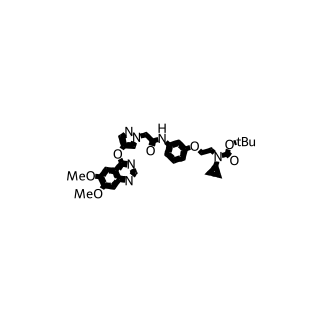 COc1cc2ncnc(Oc3cnn(CC(=O)Nc4cccc(OCCN(C(=O)OC(C)(C)C)C5CC5)c4)c3)c2cc1OC